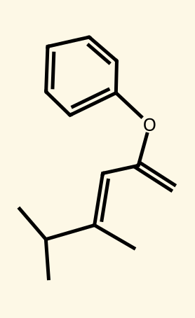 C=C(/C=C(\C)C(C)C)Oc1ccccc1